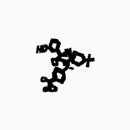 COC(=O)c1ccc([C@@H](C)N2C(=O)C(c3cccc(O)c3)=NC23CCC(C(C)(C)C)CC3)cc1